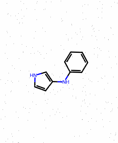 c1ccc(Nc2cc[nH]c2)cc1